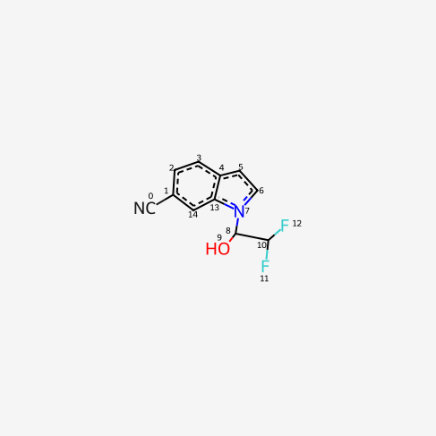 N#Cc1ccc2ccn(C(O)C(F)F)c2c1